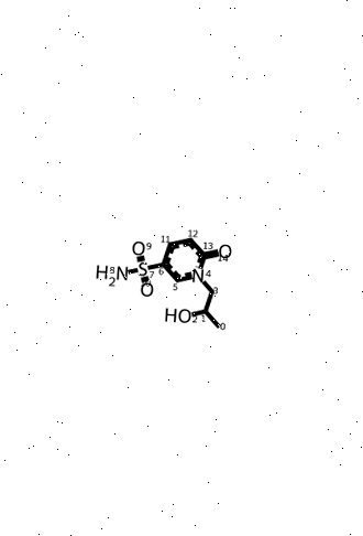 CC(O)Cn1cc(S(N)(=O)=O)ccc1=O